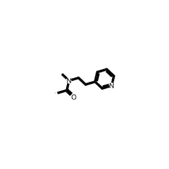 [CH2]C(=O)N(C)CCc1cccnc1